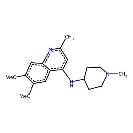 COc1cc2nc(C)cc(NC3CCN(C)CC3)c2cc1OC